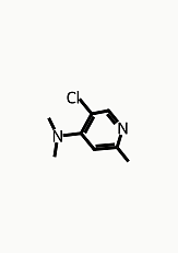 Cc1cc(N(C)C)c(Cl)cn1